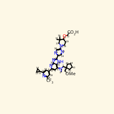 COCC1(CN(C)c2cc(-c3cc(C4CC4)nc(C(F)(F)F)c3)nc3nc(-c4cnc(N5CCC(OCC(=O)O)C(C)(C)C5)cn4)[nH]c23)CCCC1